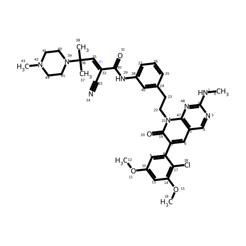 CNc1ncc2cc(-c3cc(OC)cc(OC)c3Cl)c(=O)n(CCc3cccc(NC(=O)/C(C#N)=C/C(C)(C)N4CCN(C)CC4)c3)c2n1